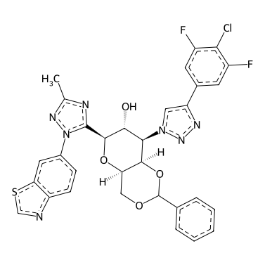 Cc1nc([C@@H]2O[C@@H]3COC(c4ccccc4)O[C@@H]3[C@H](n3cc(-c4cc(F)c(Cl)c(F)c4)nn3)[C@H]2O)n(-c2ccc3ncsc3c2)n1